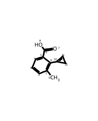 Cc1cccc(C(=O)O)c1C1=CC1